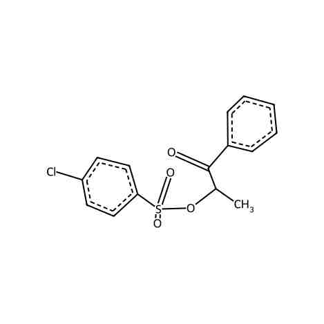 CC(OS(=O)(=O)c1ccc(Cl)cc1)C(=O)c1ccccc1